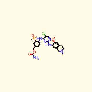 COc1cc2c(cc1Nc1ncc(Cl)c(Nc3ccc(COC(N)=O)cc3P(C)(C)=O)n1)CN(C)CC2